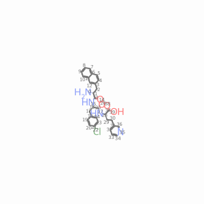 N[C@H](Cc1ccc2ccccc2c1)C(=O)N[C@H](Cc1ccc(Cl)cc1)C(=O)N[C@H](CCc1cccnc1)C(=O)O